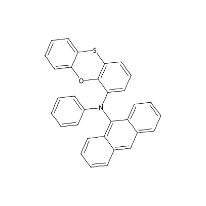 c1ccc(N(c2cccc3c2Oc2ccccc2S3)c2c3ccccc3cc3ccccc23)cc1